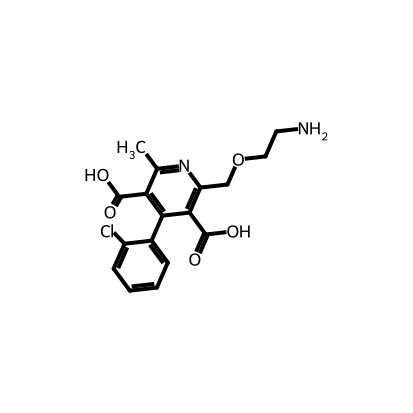 Cc1nc(COCCN)c(C(=O)O)c(-c2ccccc2Cl)c1C(=O)O